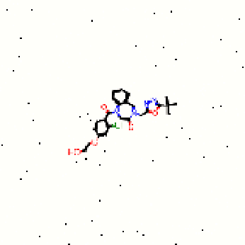 CC(C)(C)c1nnc(CN2Cc3ccccc3N(C(=O)c3ccc(OCCO)cc3Cl)CC2=O)o1